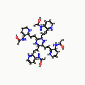 CC(=O)Nc1cccnc1C=Cc1nc(C=Cc2ncccc2NC(C)=O)c(C=Cc2ncccc2NC(C)=O)nc1C=Cc1ncccc1NC(C)=O